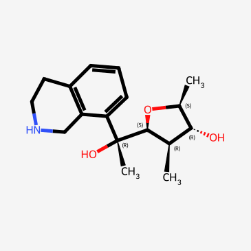 C[C@@H]1[C@@H](O)[C@H](C)O[C@@H]1[C@](C)(O)c1cccc2c1CNCC2